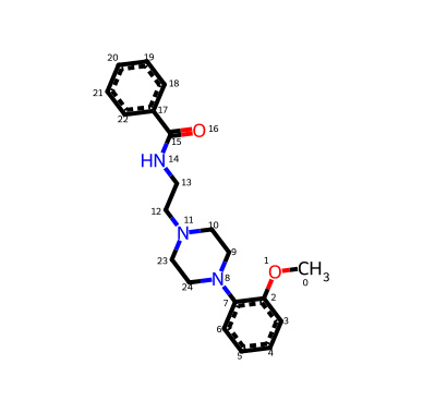 COc1ccccc1N1CCN(CCNC(=O)c2ccccc2)CC1